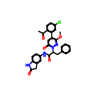 COc1nn(C(Cc2ccccc2)C(=O)Nc2ccc3c(c2)CC(=O)N3)c(=O)cc1-c1cc(Cl)ccc1C(C)=O